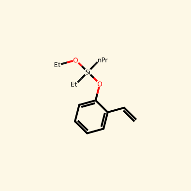 C=Cc1ccccc1O[Si](CC)(CCC)OCC